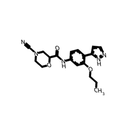 CCCOc1cc(NC(=O)C2CN(C#N)CCO2)ccc1-c1ccn[nH]1